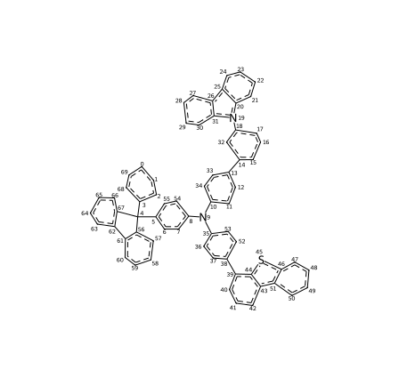 c1ccc(C2(c3ccc(N(c4ccc(-c5cccc(-n6c7ccccc7c7ccccc76)c5)cc4)c4ccc(-c5cccc6c5sc5ccccc56)cc4)cc3)c3ccccc3-c3ccccc32)cc1